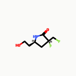 O=C1N[C@H](CCO)C[C@]1(F)CF